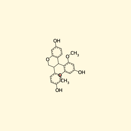 COc1cc(O)cc(OC)c1C1c2ccc(O)cc2OCC1c1ccc(O)cc1